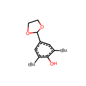 CC(C)(C)c1cc(C2OCCO2)cc(C(C)(C)C)c1O